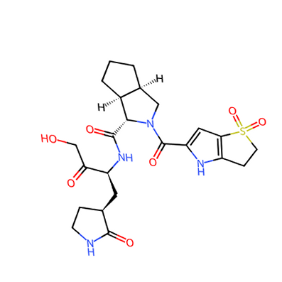 O=C1NCC[C@H]1C[C@H](NC(=O)[C@@H]1[C@H]2CCC[C@H]2CN1C(=O)c1cc2c([nH]1)CCS2(=O)=O)C(=O)CO